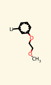 [Li][c]1cccc(OCCOC)c1